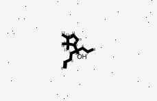 C=CCCC(O)(CCC)C1CC=C(C)C1(C)C